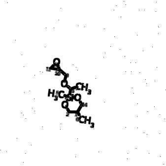 CC1CO[Si](C)(C(C)OCC2CO2)OC1